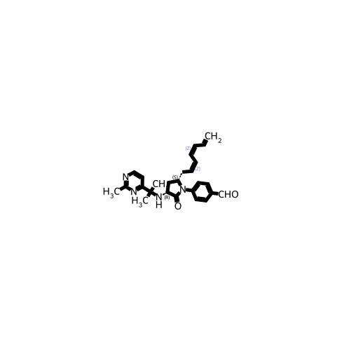 C=C/C=C\C=C/C[C@H]1C[C@@H](NC(C)(C)c2ccnc(C)n2)C(=O)N1c1ccc(C=O)cc1